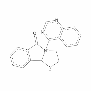 O=C1c2ccccc2C2NCC[N+]12c1ncnc2ccccc12